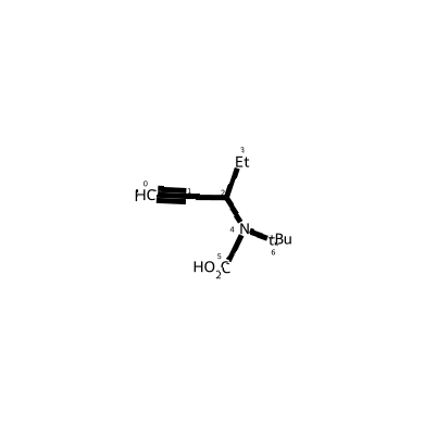 C#CC(CC)N(C(=O)O)C(C)(C)C